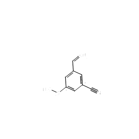 C=Cc1cc(C#N)cc(SC)c1